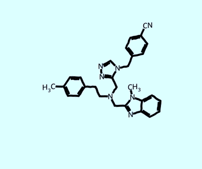 Cc1ccc(CCN(Cc2nncn2Cc2ccc(C#N)cc2)Cc2nc3ccccc3n2C)cc1